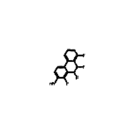 CCCc1ccc2c(c1F)C(F)C(F)c1c(F)cccc1-2